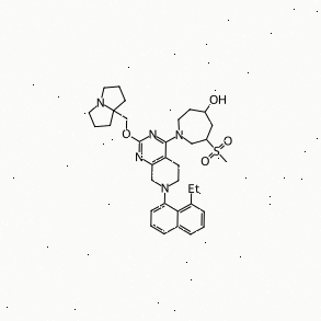 CCc1cccc2cccc(N3CCc4c(nc(OCC56CCCN5CCC6)nc4N4CCC(O)CC(S(C)(=O)=O)C4)C3)c12